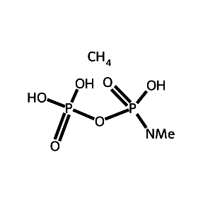 C.CNP(=O)(O)OP(=O)(O)O